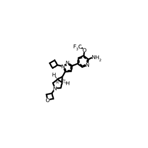 Nc1ncc(-c2cc(C3[C@H]4CN(C5COC5)C[C@@H]34)n(C3CCC3)n2)cc1OC(F)(F)F